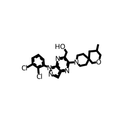 CC1COCC2(CCN(c3nc4cnn(-c5cccc(Cl)c5Cl)c4nc3CO)CC2)C1